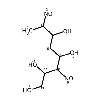 CC(N=O)C(O)CC(O)C(N=O)C(O)CO